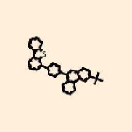 CC(C)(C)c1ccc2cc(-c3ccc(-c4cccc5c4sc4ccccc45)cc3)c3ccccc3c2c1